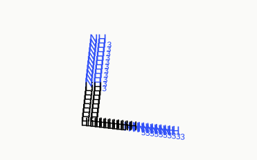 N.N.N.N.N.N.N.N.N.N.N.N.N.N.N.N.N.N.N.N.N.[LiH].[LiH].[LiH].[LiH].[LiH].[LiH].[LiH].[LiH].[LiH].[LiH].[LiH].[LiH].[LiH].[LiH].[LiH].[LiH].[LiH].[LiH]